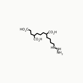 NNNCCCCC(CCCC(CCC(=O)O)C(=O)O)C(=O)O